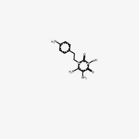 CCCn1c(=O)c(N)c(N)n(CCc2ccc(N)cc2)c1=O